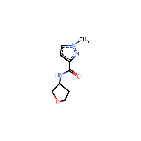 Cn1ccc(C(=O)N[C@H]2CCOC2)n1